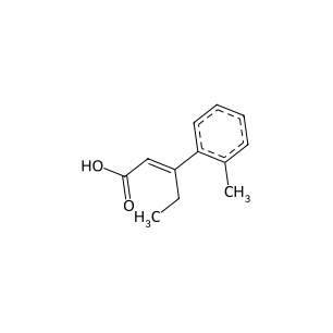 CC/C(=C\C(=O)O)c1ccccc1C